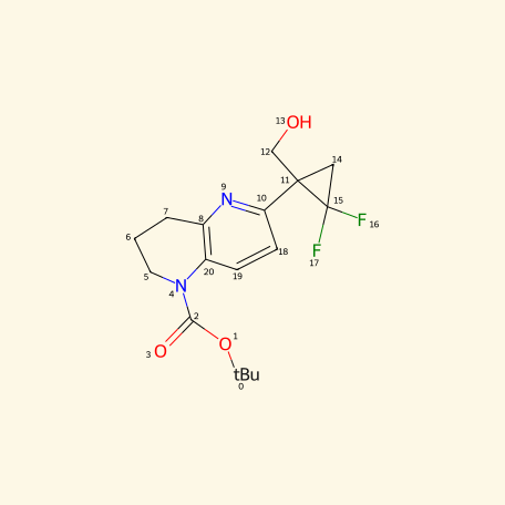 CC(C)(C)OC(=O)N1CCCc2nc(C3(CO)CC3(F)F)ccc21